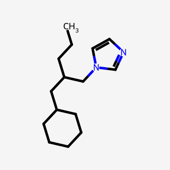 CCCC(CC1CCCCC1)Cn1ccnc1